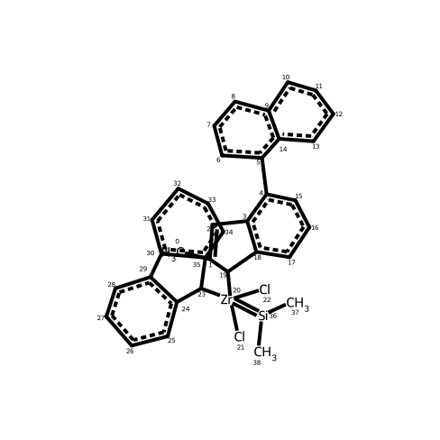 CC1=Cc2c(-c3cccc4ccccc34)cccc2[CH]1[Zr]([Cl])([Cl])([CH]1c2ccccc2-c2ccccc21)=[Si](C)C